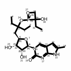 CCC(CC)(C[C@H]1O[C@@H](n2cc3cc(C)[nH]c3nc2=O)[C@H](O)[C@@H]1O)OP1(=O)OCC1(O)CC